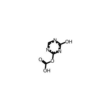 O=C(O)Oc1ncnc(O)n1